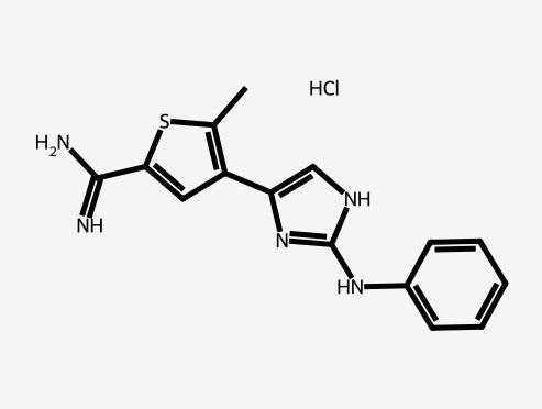 Cc1sc(C(=N)N)cc1-c1c[nH]c(Nc2ccccc2)n1.Cl